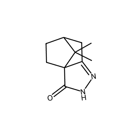 CC1(C)C2CCC13C(=O)NN=C3C2